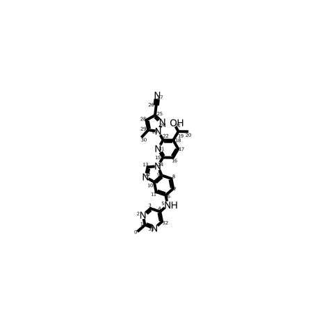 Cc1ncc(Nc2ccc3c(c2)ncn3-c2ccc(C(C)O)c(-n3nc(C#N)cc3C)n2)cn1